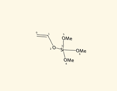 C=CO[Si](OC)(OC)OC